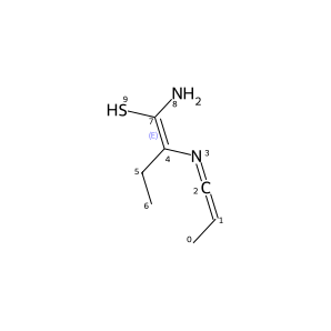 CC=C=N/C(CC)=C(\N)S